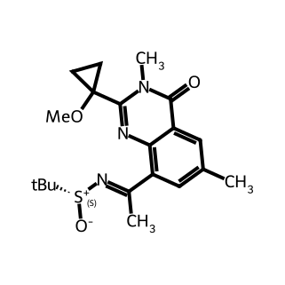 COC1(c2nc3c(C(C)=N[S@+]([O-])C(C)(C)C)cc(C)cc3c(=O)n2C)CC1